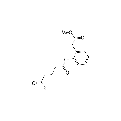 COC(=O)Cc1ccccc1OC(=O)CCCC(=O)Cl